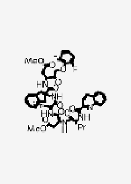 COC(=O)CC(NC(=O)C1(NC(=O)C(NC(=O)C(CC(=O)OC)NC(=O)C(NC(=O)c2ccc3ccccc3n2)C(C)C)C(C)C)Cc2ccccc2C1)C(=O)COc1c(F)cccc1F